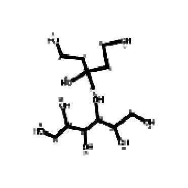 CC(O)(CCO)CCO.OCC(O)C(O)C(O)C(O)CO